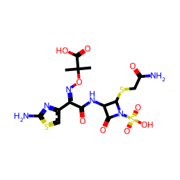 CC(C)(ON=C(C(=O)NC1C(=O)N(S(=O)(=O)O)C1SCC(N)=O)c1csc(N)n1)C(=O)O